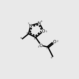 CC(=O)Oc1onnc1C